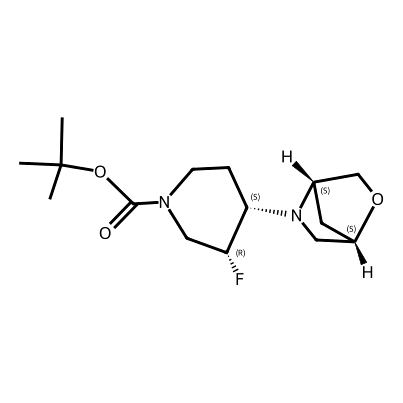 CC(C)(C)OC(=O)N1CC[C@H](N2C[C@@H]3C[C@H]2CO3)[C@H](F)C1